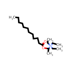 CCCCCCCCCCCC(=O)OC(C)[N+](CC)(CC)CC